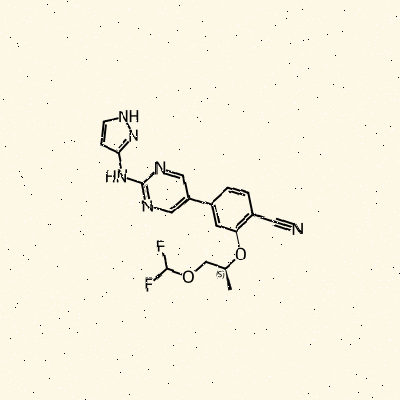 C[C@@H](COC(F)F)Oc1cc(-c2cnc(Nc3cc[nH]n3)nc2)ccc1C#N